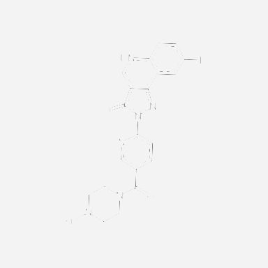 CC(C)N1CCN(C(=O)c2ccc(-n3nc4c5cc(F)ccc5[nH]cc-4c3=O)nc2)CC1